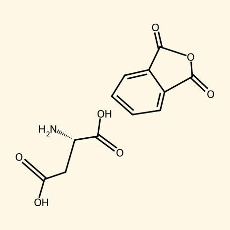 N[C@@H](CC(=O)O)C(=O)O.O=C1OC(=O)c2ccccc21